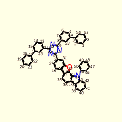 c1ccc(-c2cccc(-c3nc(-c4cccc(-c5ccccc5)c4)nc(-c4ccc5c(c4)oc4c5ccc5c6ccccc6n(-c6ccccc6)c54)n3)c2)cc1